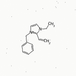 C=Cc1n(CC)cc[n+]1Cc1ccccc1